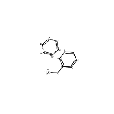 CCc1ccccc1.c1ccncc1